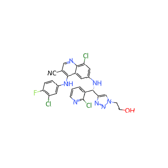 N#Cc1cnc2c(Cl)cc(N[C@H](c3cn(CCO)nn3)c3cccnc3Cl)cc2c1Nc1ccc(F)c(Cl)c1